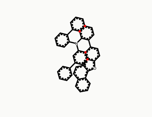 c1ccc(-c2cccc(N(c3ccccc3-c3ccccc3)c3ccccc3-c3ccc4oc5c6ccccc6ccc5c4c3)c2)cc1